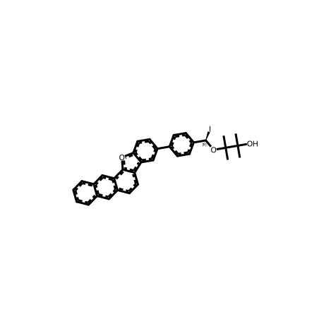 CC(C)(O)C(C)(C)O[C@H](I)c1ccc(-c2ccc3oc4c5cc6ccccc6cc5ccc4c3c2)cc1